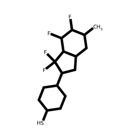 CC1CC2CC(C3CCC(S)CC3)C(F)(F)C2C(F)C1F